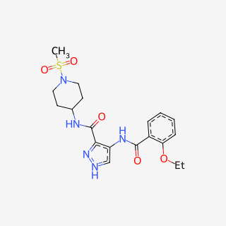 CCOc1ccccc1C(=O)Nc1c[nH]nc1C(=O)NC1CCN(S(C)(=O)=O)CC1